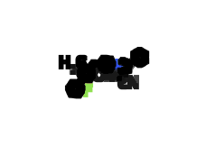 COc1cc(-c2ccccc2F)cc(C)c1Cc1ccc(N2C[C@H](c3ccccc3)C[C@@H]2CC#N)cc1